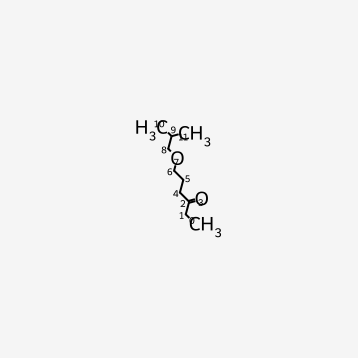 CCC(=O)CCCOCC(C)C